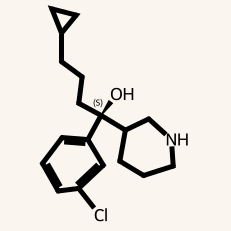 O[C@](CCCC1CC1)(c1cccc(Cl)c1)C1CCCNC1